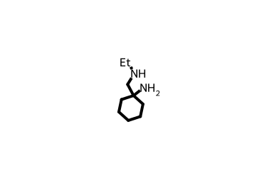 CCNCC1(N)CCCCC1